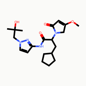 COC1=CC(=O)N(C(CC2CCCC2)C(=O)Nc2ccn(CC(C)(C)O)n2)C1